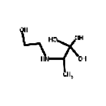 CC(NCCO)C(O)(O)O